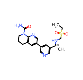 CCS(=O)(=O)CN[C@H](C)c1cncc(-c2cnc3c(c2)CCCN3C(N)=O)c1